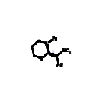 CC(=O)/C(=C1\SCCCN1Br)[N+](=O)[O-]